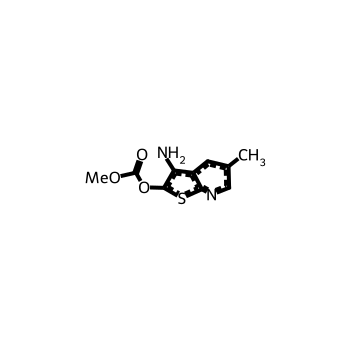 COC(=O)Oc1sc2ncc(C)cc2c1N